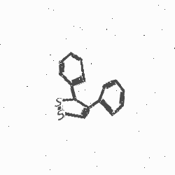 C1=C(c2ccccc2)C(c2ccccc2)SS1